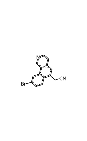 N#CCc1cc2ccncc2c2cc(Br)ccc12